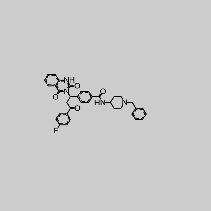 O=C(CC(c1ccc(C(=O)NC2CCN(Cc3ccccc3)CC2)cc1)n1c(=O)[nH]c2ccccc2c1=O)c1ccc(F)cc1